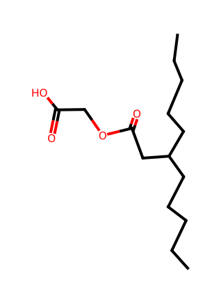 CCCCCC(CCCCC)CC(=O)OCC(=O)O